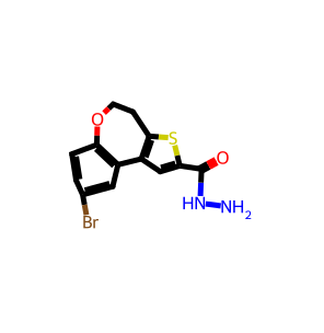 NNC(=O)c1cc2c(s1)CCOc1ccc(Br)cc1-2